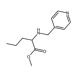 CCCC(NCc1ccncc1)C(=O)OC